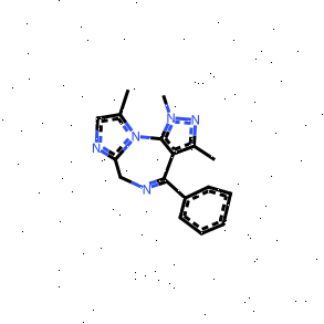 Cc1nn(C)c2c1C(c1ccccc1)=NCc1ncc(C)n1-2